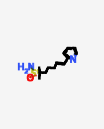 CC(C)(CCCC=Cc1ccccn1)[S+](N)[O-]